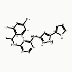 CC(Nc1ncnc(Nc2cc(-c3ccco3)[nH]n2)n1)c1ccc(F)cc1F